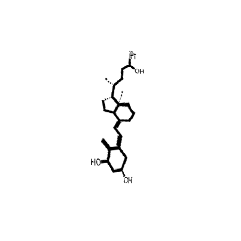 C=C1/C(=C\C=C2/CCC[C@@]3(C)C2CC[C@@H]3[C@H](C)CCC(O)C(C)C)C[C@@H](O)CC1O